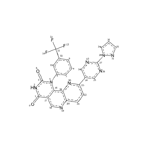 O=c1[nH]c(=O)n(-c2cccc(C(F)(F)F)c2)c2c1cnc1ccc(-c3cnc(-n4cccn4)nc3)nc12